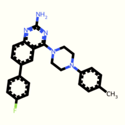 Cc1ccc(N2CCN(c3nc(N)nc4ccc(-c5ccc(F)cc5)cc34)CC2)cc1